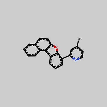 CC(C)c1ccnc(-c2cccc3c2oc2ccc4ccccc4c23)c1